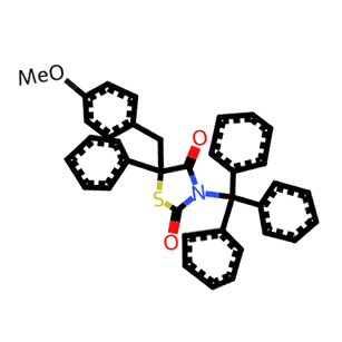 COc1ccc(CC2(c3ccccc3)SC(=O)N(C(c3ccccc3)(c3ccccc3)c3ccccc3)C2=O)cc1